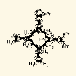 CCCSC1=C(SCCC)SC(=C2Sc3c4[nH]c(c3S2)C(C)(C)c2[nH]c(c3c2SC(=C2SC(SCCC)=C(SCCC)S2)S3)C(C)(C)c2[nH]c(c3c2SC(=C2SC(C)=C(C)S2)S3)C(C)(C)c2[nH]c(c3c2SC(=C2SC(C)=C(C)S2)S3)C4(C)C)S1